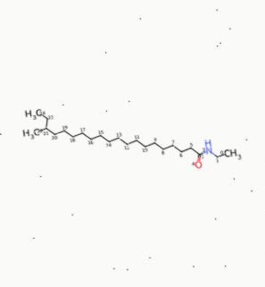 CCNC(=O)CCCCCCCCCCCCCCCCC(C)CC